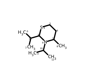 CC(C)C1SCCC(C)N1C(C)C